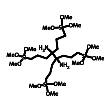 CO[Si](CCCC(N)(CCC[Si](OC)(OC)OC)C(N)(CCC[Si](OC)(OC)OC)CCC[Si](OC)(OC)OC)(OC)OC